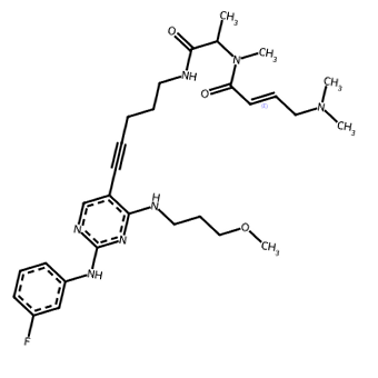 COCCCNc1nc(Nc2cccc(F)c2)ncc1C#CCCCNC(=O)C(C)N(C)C(=O)/C=C/CN(C)C